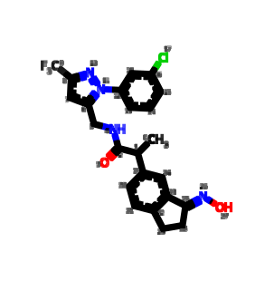 CC(C(=O)NCc1cc(C(F)(F)F)nn1-c1cccc(Cl)c1)c1ccc2c(c1)C(=NO)CC2